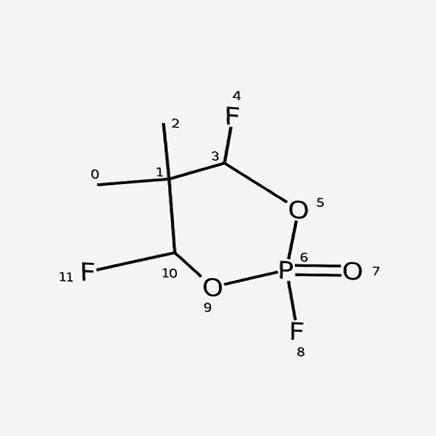 CC1(C)C(F)OP(=O)(F)OC1F